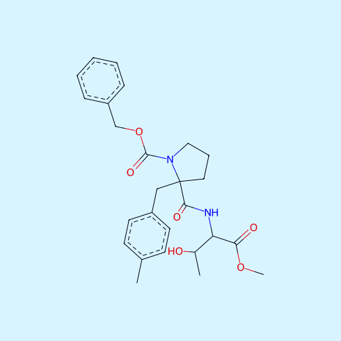 COC(=O)C(NC(=O)C1(Cc2ccc(C)cc2)CCCN1C(=O)OCc1ccccc1)C(C)O